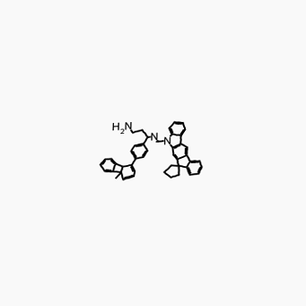 CC12C=CC=C(c3ccc(C(CCN)/N=C/n4c5ccccc5c5cc6c(cc54)C4(CCCC4)c4ccccc4-6)cc3)C1c1ccccc12